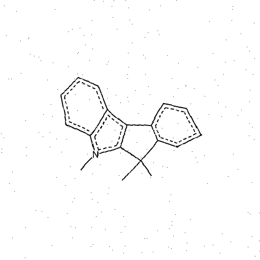 Cn1c2c(c3ccccc31)-c1ccccc1C2(C)C